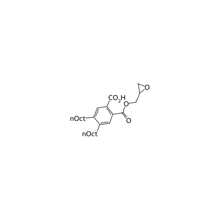 CCCCCCCCc1cc(C(=O)O)c(C(=O)OCC2CO2)cc1CCCCCCCC